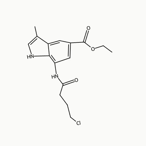 CCOC(=O)c1cc(NC(=O)CCCCl)c2[nH]cc(C)c2c1